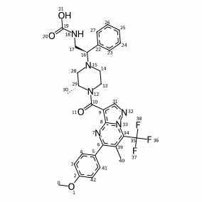 COc1ccc(-c2nc3c(C(=O)N4CCN([C@@H](CNC(=O)O)c5ccccc5)C[C@H]4C)cnn3c(C(F)(F)F)c2C)cc1